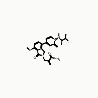 C=C(CN1Cc2c(C3=CC(=C)N(N(C)C(C)C(C)S)C=C3)ccc(OC)c2C1=O)C(N)=O